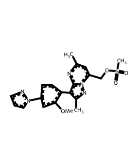 COc1cc(-n2cccn2)ccc1-c1c(C)nn2c(COS(C)(=O)=O)cc(C)nc12